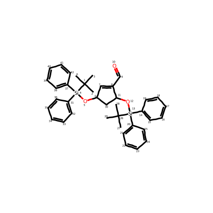 CC(C)(C)[Si](OC1C=C(C=O)C(O[Si](c2ccccc2)(c2ccccc2)C(C)(C)C)C1)(c1ccccc1)c1ccccc1